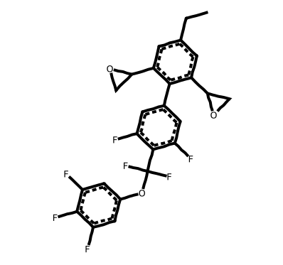 CCc1cc(C2CO2)c(-c2cc(F)c(C(F)(F)Oc3cc(F)c(F)c(F)c3)c(F)c2)c(C2CO2)c1